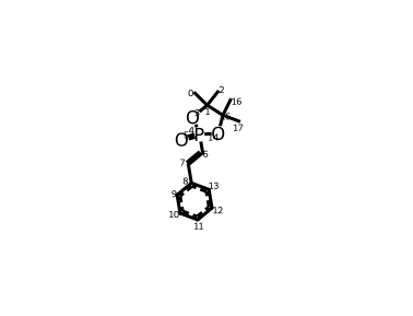 CC1(C)OP(=O)(C=Cc2ccccc2)OC1(C)C